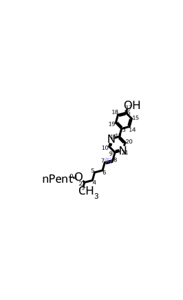 CCCCCOC(C)CCC/C=C/c1cnc(-c2ccc(O)cc2)cn1